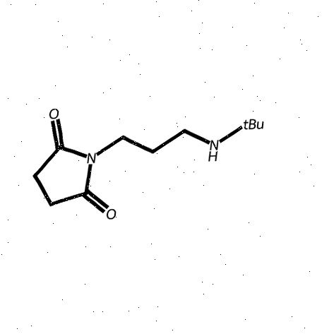 CC(C)(C)NCCCN1C(=O)CCC1=O